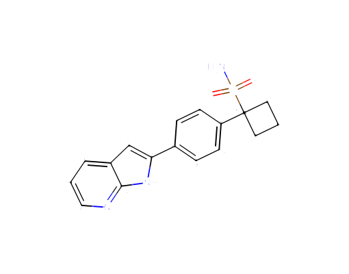 NS(=O)(=O)C1(c2ccc(-c3cc4cccnc4[nH]3)cc2)CCC1